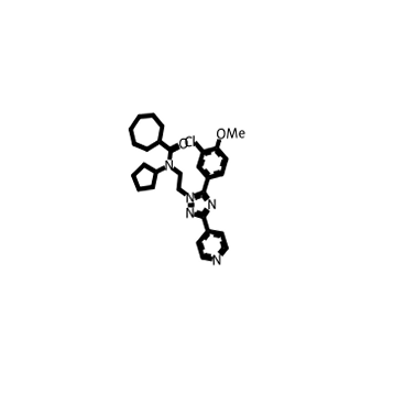 COc1ccc(-c2nc(-c3ccncc3)nn2CCN(C(=O)C2CCCCCC2)C2CCCC2)cc1Cl